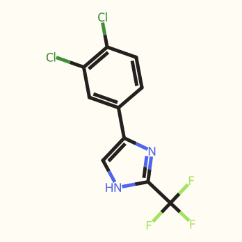 FC(F)(F)c1nc(-c2ccc(Cl)c(Cl)c2)c[nH]1